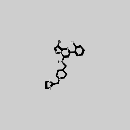 Clc1ccccc1-c1cc(NCC2CCN(Cc3nccs3)CC2)n2ncc(Br)c2n1